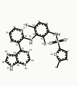 Cc1ccc(S(=O)(=O)Nc2ccc(F)c(Nc3ncccc3-c3ncnc4[nH]cnc34)c2F)o1